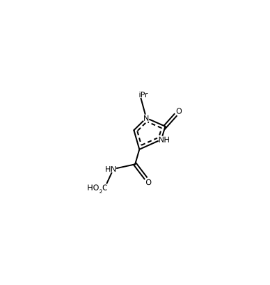 CC(C)n1cc(C(=O)NC(=O)O)[nH]c1=O